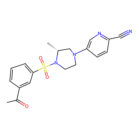 CC(=O)c1cccc(S(=O)(=O)N2CCN(c3ccc(C#N)nc3)C[C@H]2C)c1